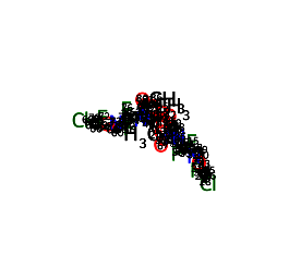 CC(C)O[C@H]1COC[C@H]1n1c(Cc2cc(F)c(-c3cccc(OCc4ccc(Cl)cc4F)n3)cc2F)nc2ccc(C(=O)OC(=O)c3ccc4nc(Cc5cc(F)c(-c6cccc(OCc7ccc(Cl)cc7F)n6)cc5F)n([C@@H]5COC[C@@H]5OC(C)C)c4c3)cc21